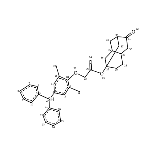 Cc1cc([SH](c2ccccc2)c2ccccc2)cc(C)c1OCC(=O)OC12CCC3CC(=O)C(CC3C1)C2